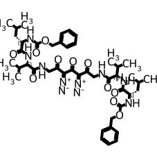 CC(C)C[C@H](NC(=O)OCc1ccccc1)C(=O)N[C@H](C(=O)NCC(=O)C(=[N+]=[N-])C(=O)C(=[N+]=[N-])C(=O)CNC(=O)[C@@H](NC(=O)[C@H](CC(C)C)NC(=O)OCc1ccccc1)C(C)C)C(C)C